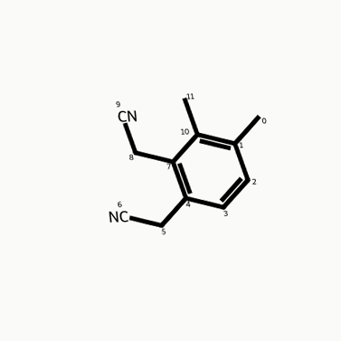 Cc1ccc(CC#N)c(CC#N)c1C